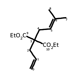 C=CCC(CC=C(C)C)(C(=O)OCC)C(=O)OCC